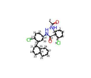 CC(=O)Nc1cccc(Cl)c1C(=O)Nc1ccc(Cl)c(-c2cccc3ccccc23)c1